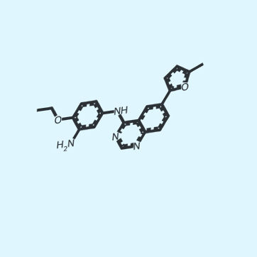 CCOc1ccc(Nc2ncnc3ccc(-c4ccc(C)o4)cc23)cc1N